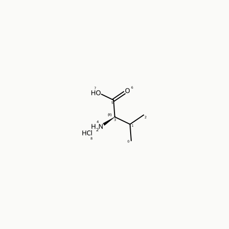 CC(C)[C@@H](N)C(=O)O.Cl